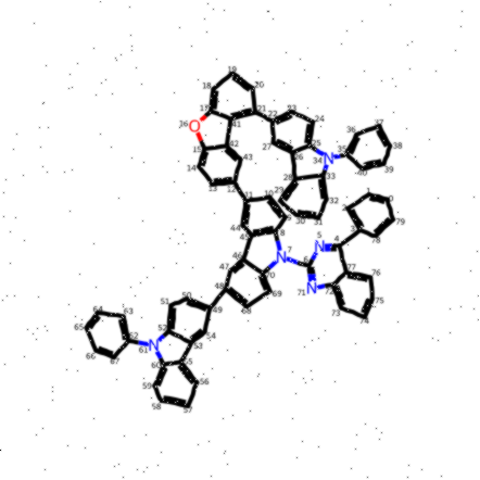 c1ccc(-c2nc(-n3c4ccc(-c5ccc6oc7cccc(-c8ccc9c(c8)c8ccccc8n9-c8ccccc8)c7c6c5)cc4c4cc(-c5ccc6c(c5)c5ccccc5n6-c5ccccc5)ccc43)nc3ccccc23)cc1